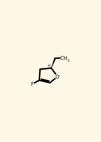 CC[C@@H]1CC(F)=CO1